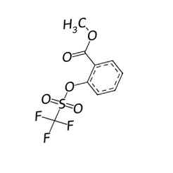 COC(=O)c1ccccc1OS(=O)(=O)C(F)(F)F